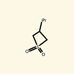 CC(C)C1CS(=O)(=O)C1